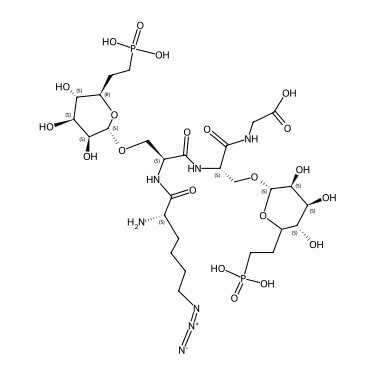 [N-]=[N+]=NCCCC[C@H](N)C(=O)N[C@@H](CO[C@H]1O[C@H](CCP(=O)(O)O)[C@@H](O)[C@H](O)[C@@H]1O)C(=O)N[C@@H](CO[C@H]1OC(CCP(=O)(O)O)[C@@H](O)[C@H](O)[C@@H]1O)C(=O)NCC(=O)O